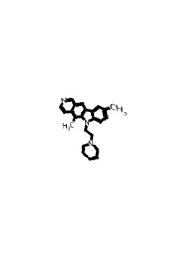 Cc1ccc2c(c1)c1cc3cnccc3c(C)c1n2CCN1CCCCC1